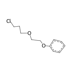 ClCCCOCCOc1ccccc1